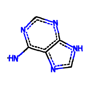 [NH]c1ncnc2[nH]cnc12